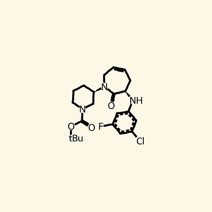 CC(C)(C)OC(=O)N1CCC[C@@H](N2CC=CC[C@@H](Nc3cc(F)cc(Cl)c3)C2=O)C1